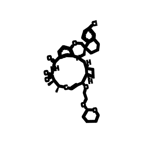 C[C@@H]1[C@@H](C)C/C=C/[C@H](OCCO[C@@H]2CCCCO2)[C@@H]2CC[C@H]2CN2C[C@@]3(CCCc4cc(Cl)ccc43)COc3ccc(cc32)C(=O)NS1(=O)=O